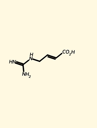 N=C(N)NCC=CC(=O)O